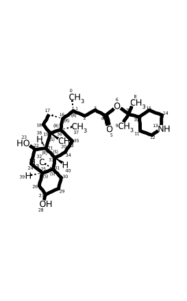 C[C@H](CCC(=O)OC(C)(C)C1CCNCC1)[C@H]1CC[C@@]2(C)[C@@H]3C(O)C[C@@H]4CC(O)CC[C@]4(C)[C@H]3CC[C@]12C